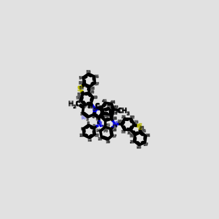 C=C/C=C\c1c(N(c2ccccc2)[C@@]23CC=CC=C2N(c2ccc4sc5ccccc5c4c2)c2ccc(C)cc23)c2cc(C)ccc2n1-c1ccc2sc3ccccc3c2c1